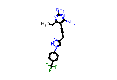 CCc1nc(N)nc(N)c1C#CCc1cn(-c2ccc(C(F)(F)F)cc2)nn1